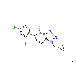 Fc1nc(Cl)ccc1-c1ccc2c(nnn2CC2CC2)c1Cl